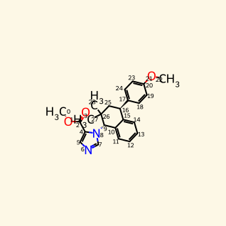 COC(=O)c1cncn1[C@H]1c2ccccc2[C@H](c2ccc(OC)cc2)CC1(C)C